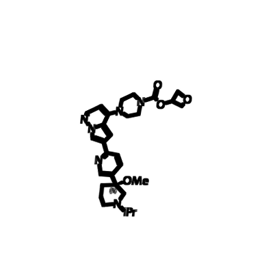 CO[C@]1(c2ccc(-c3cc4c(N5CCN(C(=O)OC6COC6)CC5)ccnn4c3)nc2)CCCN(C(C)C)C1